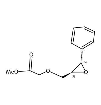 COC(=O)COC[C@@H]1O[C@H]1c1ccccc1